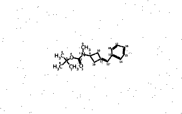 CN(C(=O)OC(C)(C)C)C1CC(=Cc2ccccc2)C1